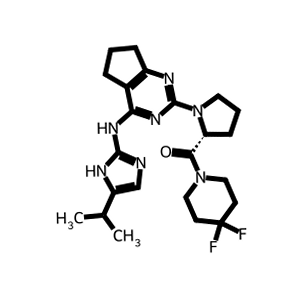 CC(C)c1cnc(Nc2nc(N3CCC[C@@H]3C(=O)N3CCC(F)(F)CC3)nc3c2CCC3)[nH]1